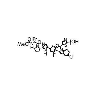 COC(=O)NC(C(=O)N1CCC[C@H]1c1ncc(-c2cc(F)c3c(c2)OC(c2cnc(C(C)(C)O)s2)n2c-3cc3cc(Cl)ccc32)[nH]1)C(C)C